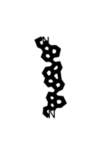 c1cnc2c(c1)-c1ccc(-c3ccc4c5c3ccc3ccc6c(-c7ccc8c9c(cccc79)-c7ncccc7-8)ccc-4c6c35)c3cccc-2c13